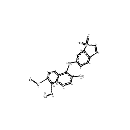 CCOc1ccc2c(Nc3ccc4c(c3)S(=O)(=O)C=C4)c(C#N)cnc2c1OCC